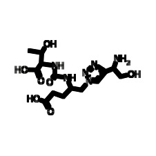 CC(O)C(NC(=O)NC(CCC(=O)O)Cn1cc(C(N)CO)nn1)C(=O)O